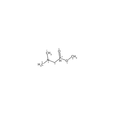 CO[PH](=O)CN(C)C